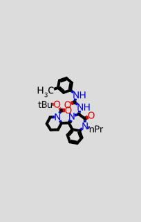 CCCN1C(=O)C(NC(=O)Nc2cccc(C)c2)N=C(C2CCCCN2C(=O)OC(C)(C)C)c2ccccc21